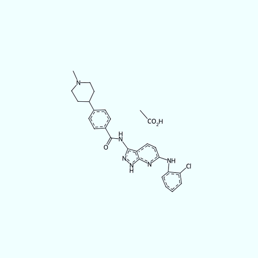 CC(=O)O.CN1CCC(c2ccc(C(=O)Nc3n[nH]c4nc(Nc5ccccc5Cl)ccc34)cc2)CC1